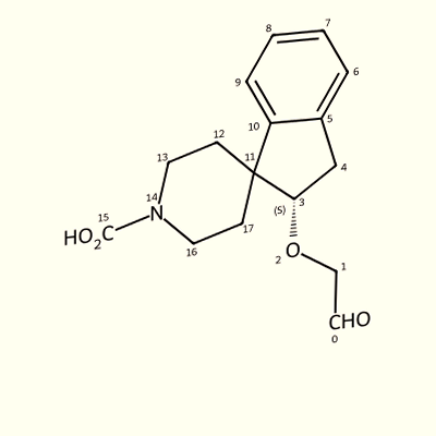 O=CCO[C@H]1Cc2ccccc2C12CCN(C(=O)O)CC2